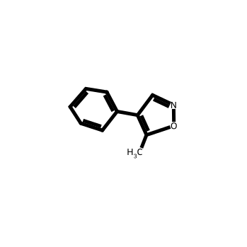 Cc1oncc1-c1ccccc1